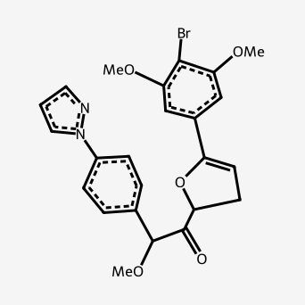 COc1cc(C2=CCC(C(=O)C(OC)c3ccc(-n4cccn4)cc3)O2)cc(OC)c1Br